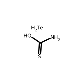 NC(O)=S.[TeH2]